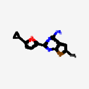 Cc1cc2c(N)nc(-c3ccc(C4CC4)o3)nc2s1